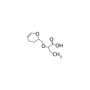 CCC(OCC1CCC=CO1)C(=O)O